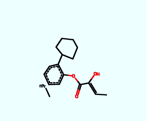 CC=C(O)C(=O)Oc1ccccc1C1CCCCC1.CCCC